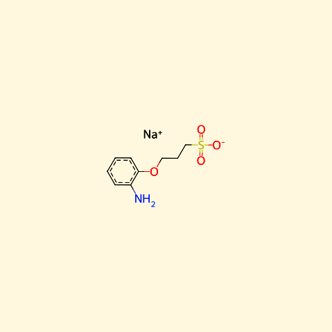 Nc1ccccc1OCCCS(=O)(=O)[O-].[Na+]